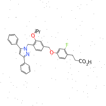 CC(C)Oc1cc(COc2ccc(CCC(=O)O)c(F)c2)ccc1Cn1nc(-c2ccccc2)cc1-c1ccccc1